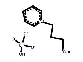 CCCCCCCCCCCC[n+]1ccccc1.[O-][Cl+3]([O-])([O-])O